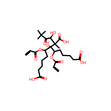 C=CC(=O)OC(CCCCC(=O)O)C(O)(C(CCCCC(=O)O)OC(=O)C=C)C(C)(C(=O)O)C(O)C(=O)C(C)(C)C